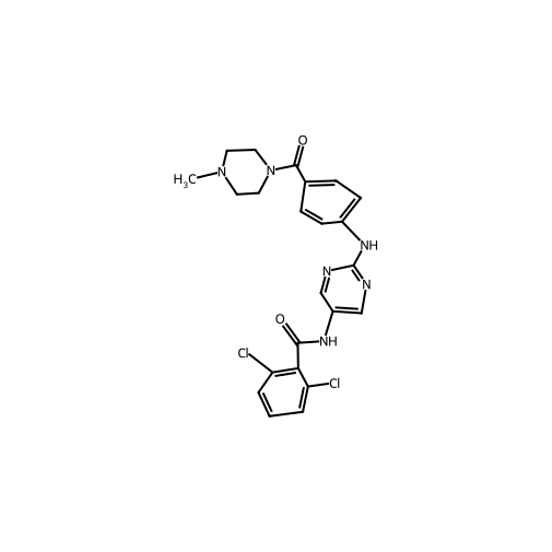 CN1CCN(C(=O)c2ccc(Nc3ncc(NC(=O)c4c(Cl)cccc4Cl)cn3)cc2)CC1